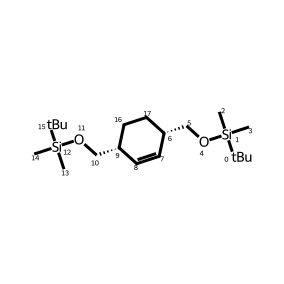 CC(C)(C)[Si](C)(C)OC[C@@H]1C=C[C@H](CO[Si](C)(C)C(C)(C)C)CC1